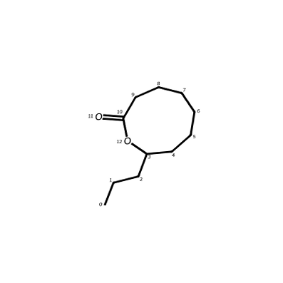 CCCC1CCCCCCC(=O)O1